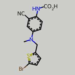 CN(Cc1ccc(Br)s1)c1ccc(NC(=O)O)c(C#N)c1